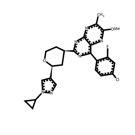 COc1nc2c(-c3ccc(Cl)cc3F)nc([C@@H]3CCO[C@H](c4cnn(C5CC5)c4)C3)nc2nc1C